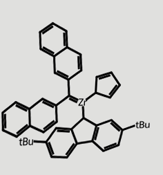 CC(C)(C)c1ccc2c(c1)[CH]([Zr](=[C](c1ccc3ccccc3c1)c1ccc3ccccc3c1)[CH]1C=CC=C1)c1cc(C(C)(C)C)ccc1-2